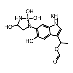 CC(OC=O)c1c[nH]c2cc(N3CC(O)NS3(O)O)c(O)cc12.[KH]